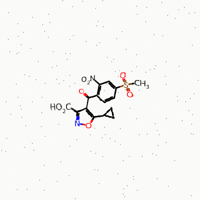 CS(=O)(=O)c1ccc(C(=O)c2c(C(=O)O)noc2C2CC2)c([N+](=O)[O-])c1